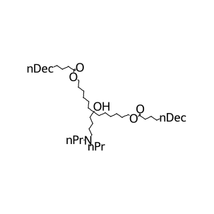 CCCCCCCCCCCCCC(=O)OCCCCCCC(O)(CCCCCCOC(=O)CCCCCCCCCCCCC)CCCCN(CCC)CCC